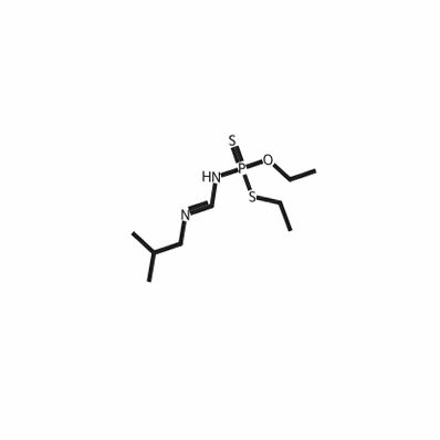 CCOP(=S)(N/C=N/CC(C)C)SCC